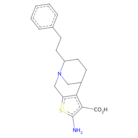 Nc1sc2c(c1C(=O)O)C1CCC(CCc3ccccc3)N(C2)C1